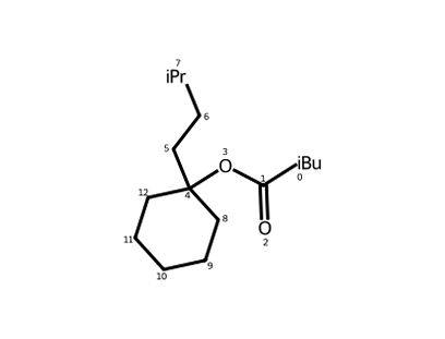 CCC(C)C(=O)OC1(CCC(C)C)CCCCC1